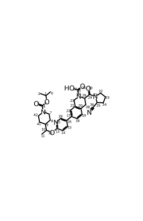 CC(C)OC(=O)N1CCC(C(C)Oc2ccc(-c3ccc4c(c3)CN(C(=O)O)C(C(=O)N3CCCC3C#N)C4)cn2)CC1